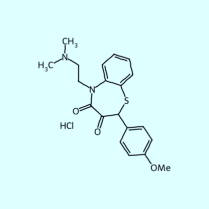 COc1ccc(C2Sc3ccccc3N(CCN(C)C)C(=O)C2=O)cc1.Cl